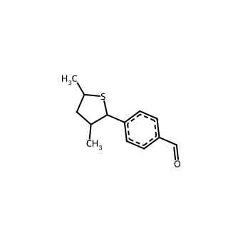 CC1CC(C)C(c2ccc(C=O)cc2)S1